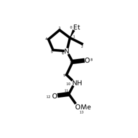 CC[C@]1(C)CCCN1C(=O)CNC(=O)OC